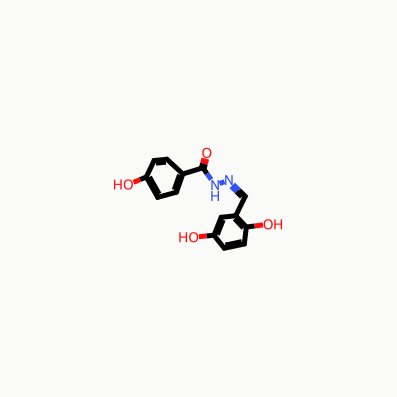 O=C(N/N=C\c1cc(O)ccc1O)c1ccc(O)cc1